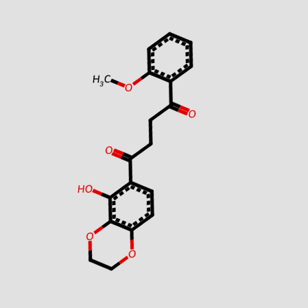 COc1ccccc1C(=O)CCC(=O)c1ccc2c(c1O)OCCO2